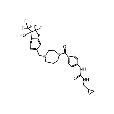 O=C(NCC1CC1)Nc1ccc(C(=O)N2CCCN(Cc3ccc(C(O)(C(F)(F)F)C(F)(F)F)cc3)CC2)cc1